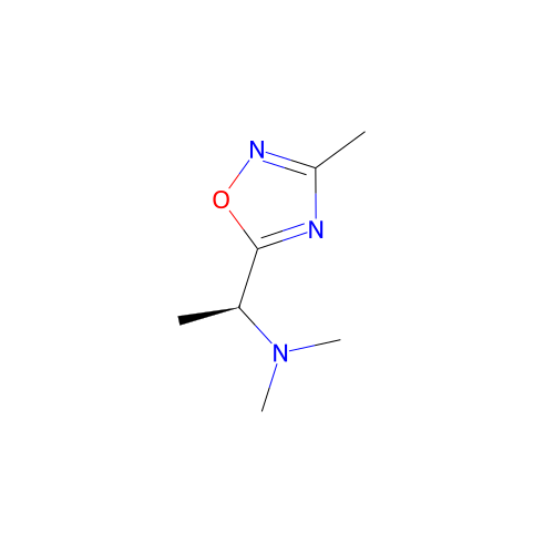 Cc1noc([C@H](C)N(C)C)n1